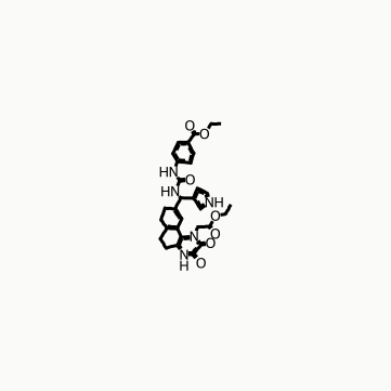 CCOC(=O)Cn1c2c([nH]c(=O)c1=O)CCC1=C2C=C(C(NC(=O)Nc2ccc(C(=O)OCC)cc2)c2cc[nH]c2)CC1